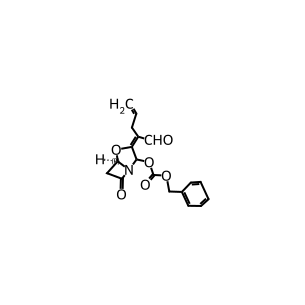 C=CCC(C=O)=C1O[C@@H]2CC(=O)N2C1OC(=O)OCc1ccccc1